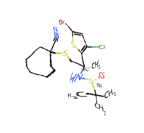 CC(C)(C)[S@@+]([O-])N[C@@](C)(CSC1(C#N)CCCCC1)c1sc(Br)cc1Cl